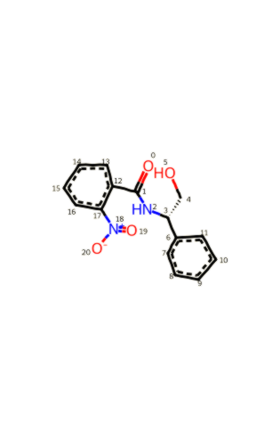 O=C(N[C@H](CO)c1ccccc1)c1ccccc1[N+](=O)[O-]